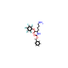 NCCCCC(NC(=O)OCc1ccccc1)C(=O)Oc1c(F)c(F)c(F)c(F)c1F